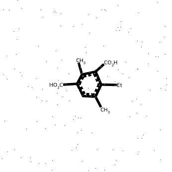 CCc1c(C)cc(C(=O)O)c(C)c1C(=O)O